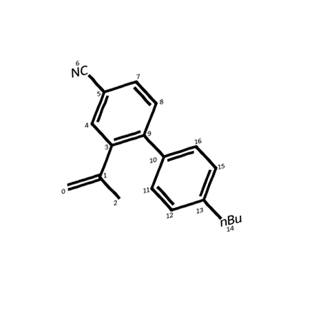 C=C(C)c1cc(C#N)ccc1-c1ccc(CCCC)cc1